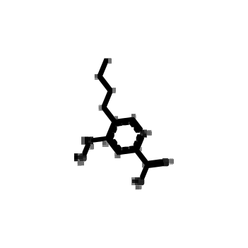 CCCCc1cnc(C(=O)O)cc1NO